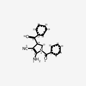 N#CC1=C(N)N(C(=O)c2ccccc2)CC1C(=O)c1ccccc1